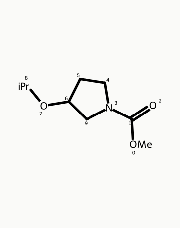 COC(=O)N1CCC(OC(C)C)C1